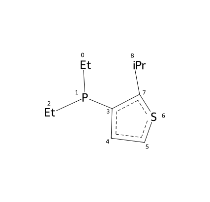 CCP(CC)c1ccsc1C(C)C